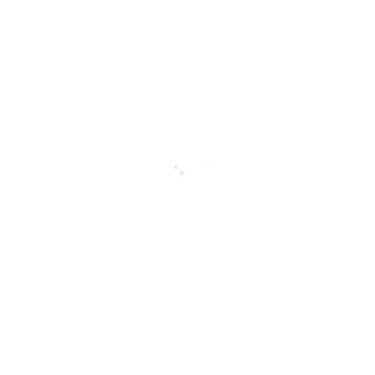 CCOC(=O)Cn1c(=O)oc(=O)c2sc(C)cc21